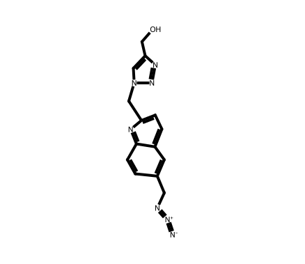 [N-]=[N+]=NCc1ccc2nc(Cn3cc(CO)nn3)ccc2c1